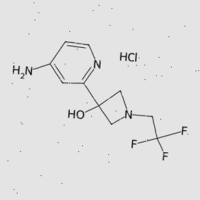 Cl.Nc1ccnc(C2(O)CN(CC(F)(F)F)C2)c1